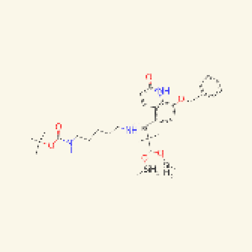 C[SiH2]OC(O[SiH2]C)C(C)(C)[C@H](CNCCCCCNC(=O)OC(C)(C)C)c1ccc(OCc2ccccc2)c2[nH]c(=O)ccc12